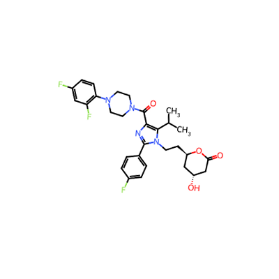 CC(C)c1c(C(=O)N2CCN(c3ccc(F)cc3F)CC2)nc(-c2ccc(F)cc2)n1CC[C@@H]1C[C@@H](O)CC(=O)O1